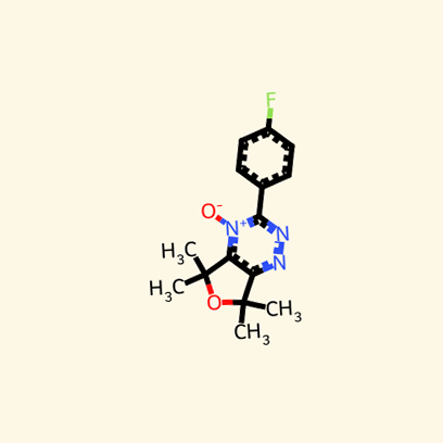 CC1(C)OC(C)(C)c2c1nnc(-c1ccc(F)cc1)[n+]2[O-]